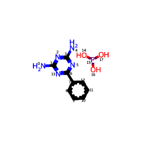 Nc1nc(N)nc(-c2ccccc2)n1.OP(O)O